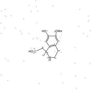 COc1cc2c(cc1O)C(C)(CC(=O)O)NCC2